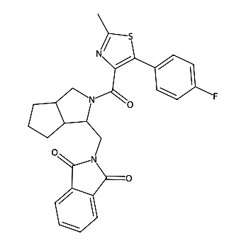 Cc1nc(C(=O)N2CC3CCCC3C2CN2C(=O)c3ccccc3C2=O)c(-c2ccc(F)cc2)s1